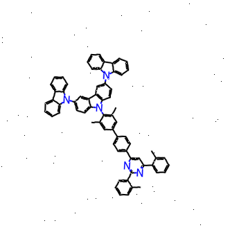 Cc1ccccc1-c1cc(-c2ccc(-c3cc(C)c(-n4c5ccc(-n6c7ccccc7c7ccccc76)cc5c5cc(-n6c7ccccc7c7ccccc76)ccc54)c(C)c3)cc2)nc(-c2ccccc2C)n1